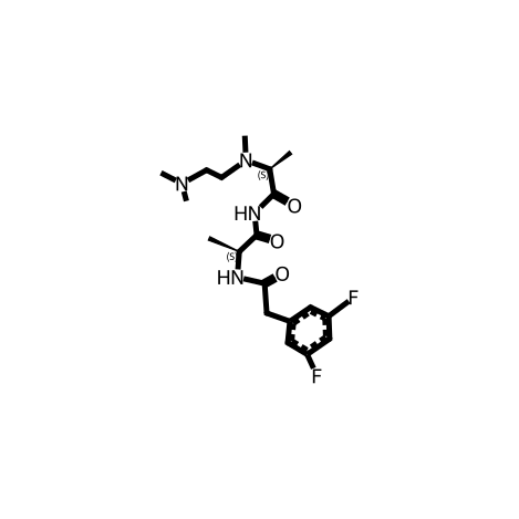 C[C@H](NC(=O)Cc1cc(F)cc(F)c1)C(=O)NC(=O)[C@H](C)N(C)CCN(C)C